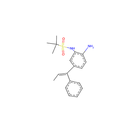 C/C=C(\c1ccccc1)c1ccc(N)c(NS(=O)(=O)C(C)(C)C)c1